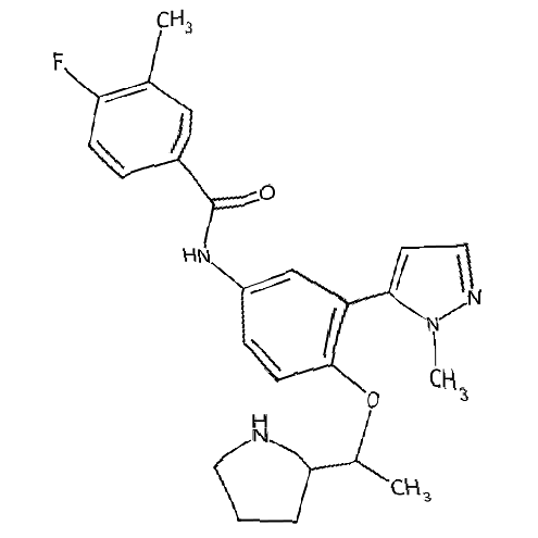 Cc1cc(C(=O)Nc2ccc(OC(C)C3CCCN3)c(-c3ccnn3C)c2)ccc1F